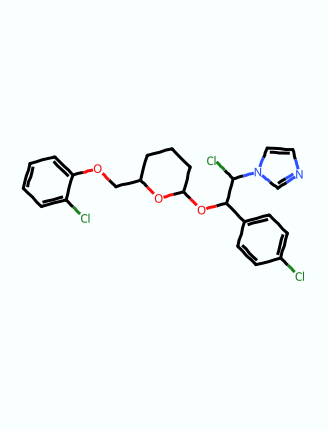 Clc1ccc(C(OC2CCCC(COc3ccccc3Cl)O2)C(Cl)n2ccnc2)cc1